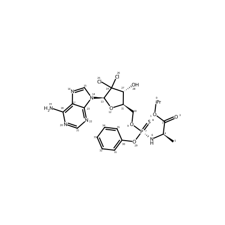 CC(C)OC(=O)[C@@H](C)N[P@@](=S)(OC[C@H]1O[C@@H](n2cnc3c(N)ncnc32)C(Cl)(Cl)[C@@H]1O)Oc1ccccc1